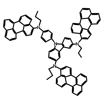 CCCN(c1ccc(-n2c3ccc(N(CCC)c4ccc5c6cccc7cccc(c8cccc4c85)c76)cc3c3cc(N(CCC)c4ccc5c6cccc7cccc(c8cccc4c85)c76)ccc32)cc1)c1ccc2c3cccc4cccc(c5cccc1c52)c43